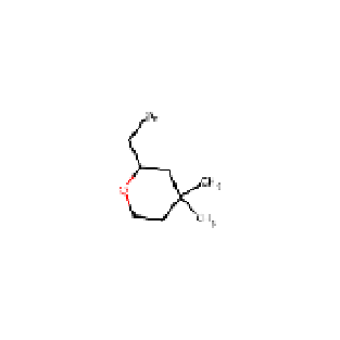 CC(C)CC1CC(C)(C)CCO1